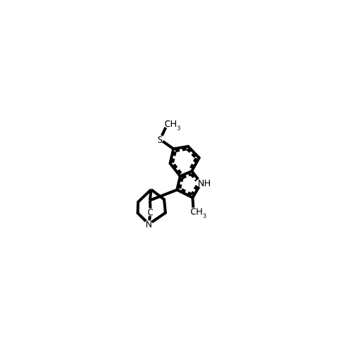 CSc1ccc2[nH]c(C)c(C3CN4CCC3CC4)c2c1